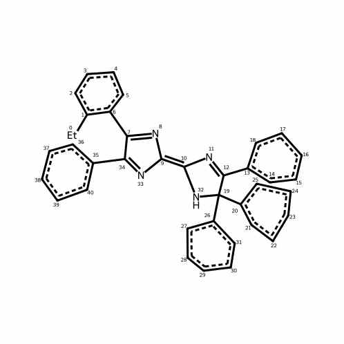 CCc1ccccc1C1=NC(=C2N=C(c3ccccc3)C(c3ccccc3)(c3ccccc3)N2)N=C1c1ccccc1